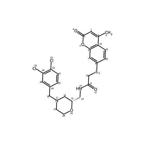 Cc1cc(=O)oc2cc(SCC(=O)NC[C@H]3CN(Cc4ccc(Cl)c(Cl)c4)CCO3)ccc12